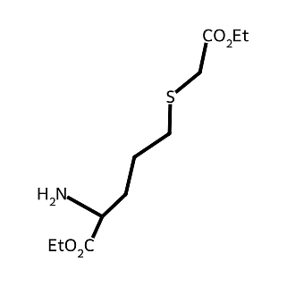 CCOC(=O)CSCCCC(N)C(=O)OCC